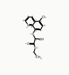 CCOC(=O)C(S)Oc1ccc(Cl)c2cccnc12